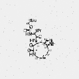 CC(C)C(NC(=O)OCC(C)(C)C)C(=O)NC1Cc2cn[nH]c2CCCCCNC(=O)C1=O